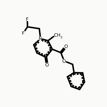 Cc1c(C(=O)OCc2ccccc2)c(=O)ccn1CC(F)F